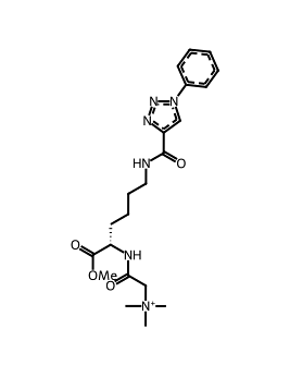 COC(=O)[C@H](CCCCNC(=O)c1cn(-c2ccccc2)nn1)NC(=O)C[N+](C)(C)C